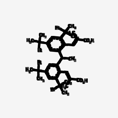 CCC(C)(C)c1cc(C(C)c2cc(C(C)(C)CC)cc(C(C)(C)CC)c2C=C(C)C(=O)O)c(C=C(C)C(=O)O)c(C(C)(C)CC)c1